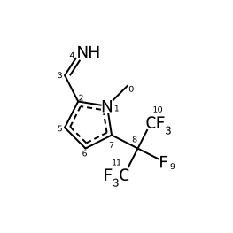 Cn1c(C=N)ccc1C(F)(C(F)(F)F)C(F)(F)F